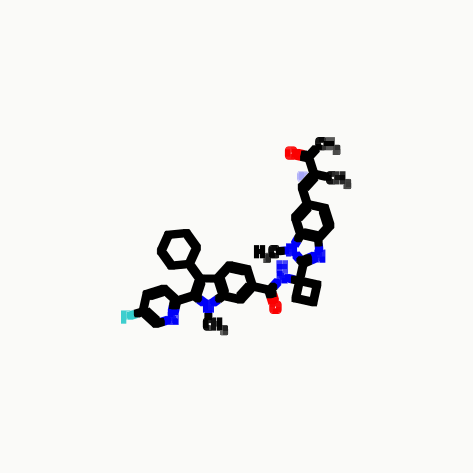 CC(=O)/C(C)=C/c1ccc2nc(C3(NC(=O)c4ccc5c(C6CCCCC6)c(-c6ccc(F)cn6)n(C)c5c4)CCC3)n(C)c2c1